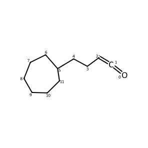 O=C=[C]CCC1CCCCCC1